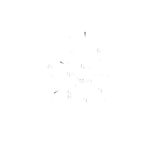 COC(=O)[C@H]1CN(C)C[C@H](C)C(=O)OB([C@H](CC(C)C)NC(=O)[C@H](Cc2ccccc2)NC(=O)c2cnccn2)N1C